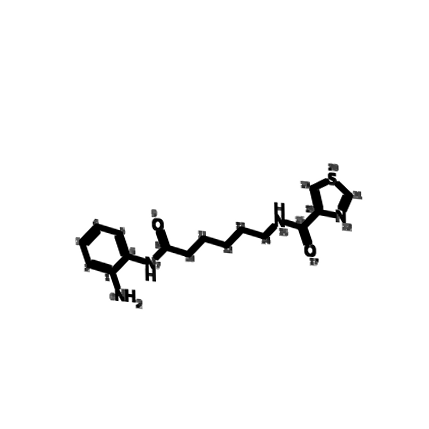 Nc1ccccc1NC(=O)CCCCCNC(=O)c1cscn1